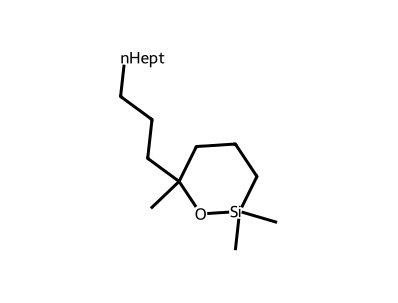 CCCCCCCCCCC1(C)CCC[Si](C)(C)O1